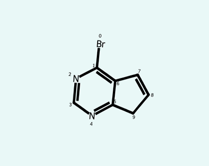 Brc1ncnc2c1C=CC2